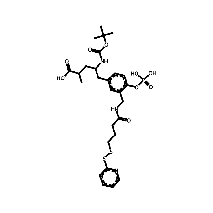 CC(CC(Cc1ccc(OP(=O)(O)O)c(CNC(=O)CCCSSc2ccccn2)c1)NC(=O)OC(C)(C)C)C(=O)O